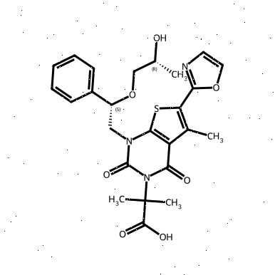 Cc1c(-c2ncco2)sc2c1c(=O)n(C(C)(C)C(=O)O)c(=O)n2C[C@@H](OC[C@@H](C)O)c1ccccc1